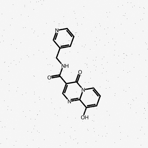 O=C(NCc1cccnc1)c1cnc2c(O)cccn2c1=O